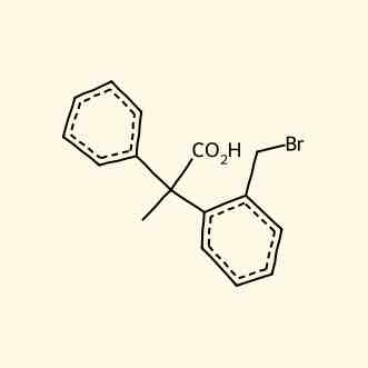 CC(C(=O)O)(c1ccccc1)c1ccccc1CBr